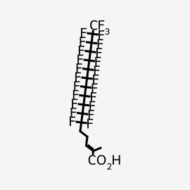 CC(=CCCC(F)(F)C(F)(F)C(F)(F)C(F)(F)C(F)(F)C(F)(F)C(F)(F)C(F)(F)C(F)(F)C(F)(F)C(F)(F)C(F)(F)F)C(=O)O